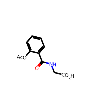 CC(=O)Oc1ccccc1C(=O)NCC(=O)O